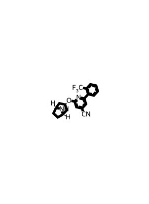 N#Cc1cc(O[C@@H]2C[C@H]3CC[C@@H](C2)N3)nc(-c2ccccc2C(F)(F)F)c1